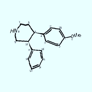 COc1ccc([C@@H]2CCNC[C@@H]2c2ccccc2)cc1